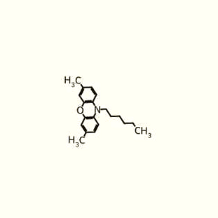 CCCCCCN1c2ccc(C)cc2Oc2cc(C)ccc21